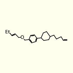 C=CCCCC1CCC(c2ccc(COCC=CCC)cc2)CC1